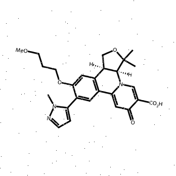 COCCCOc1cc2c(cc1-c1ccnn1C)-c1cc(=O)c(C(=O)O)cn1[C@H]1[C@@H]2COC1(C)C